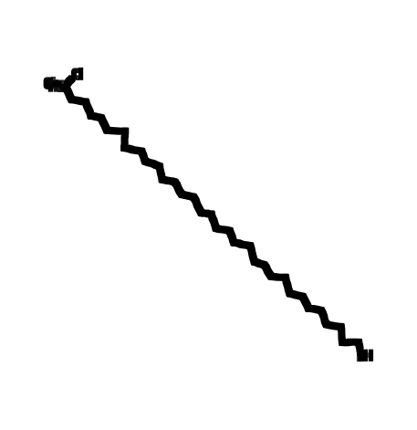 SCCCCCCCCCCCCCCCCCCCCCCCCCCCCCCCC[SiH](Cl)Cl